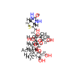 CC(=O)NC1(C)C2(C)C(OC[C@]3(C)OC(C)(CO)[C@@H](C)C(C)(O)C3(C)O)C(CO)(O[C@@]1(C)COC(=O)CCCCC1SC[C@@H]3NC(=O)N[C@H]13)[C@H]2O